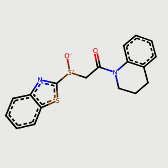 O=C(C[S+]([O-])c1nc2ccccc2s1)N1CCCc2ccccc21